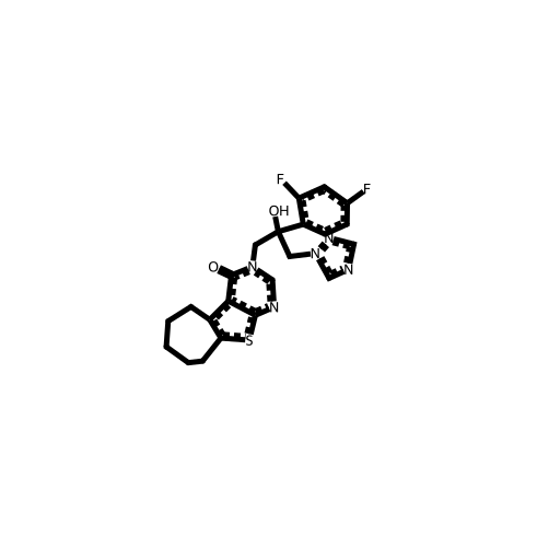 O=c1c2c3c(sc2ncn1CC(O)(Cn1cncn1)c1ccc(F)cc1F)CCCCC3